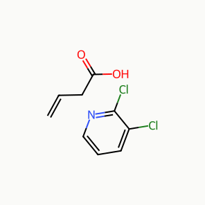 C=CCC(=O)O.Clc1cccnc1Cl